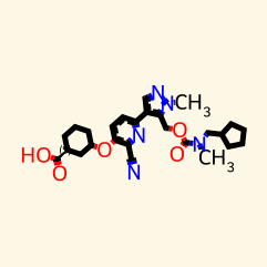 CN(CC1CCCC1)C(=O)OCc1c(-c2ccc(OC3CCC[C@H](C(=O)O)C3)c(C#N)n2)cnn1C